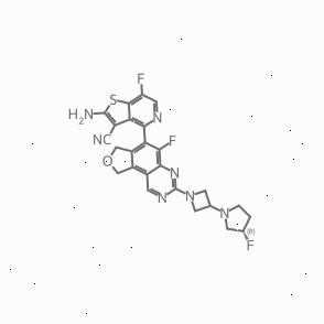 N#Cc1c(N)sc2c(F)cnc(-c3c4c(c5cnc(N6CC(N7CC[C@@H](F)C7)C6)nc5c3F)COC4)c12